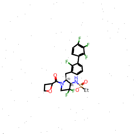 CCS(=O)(=O)N[C@@H]1[C@H](Cc2cccc(-c3ccc(F)c(F)c3F)c2F)N(C(=O)C2CCO2)CC1(F)F